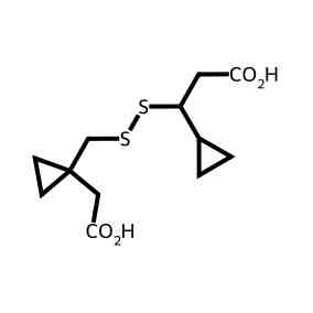 O=C(O)CC(SSCC1(CC(=O)O)CC1)C1CC1